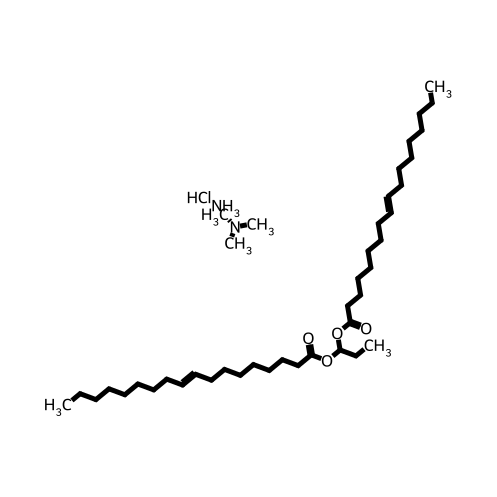 CCCCCCCCC=CCCCCCCCC(=O)OC(CC)OC(=O)CCCCCCCC=CCCCCCCCC.CN(C)C.Cl.N